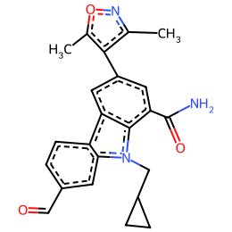 Cc1noc(C)c1-c1cc(C(N)=O)c2c(c1)c1ccc(C=O)cc1n2CC1CC1